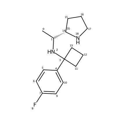 CC(NC1(c2ccc(F)cc2)CCC1)[C@@H]1CCCN1